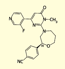 Cn1c(N2CCCO[C@@H](c3ccc(C#N)cc3)C2)nc(-c2ccncc2F)cc1=O